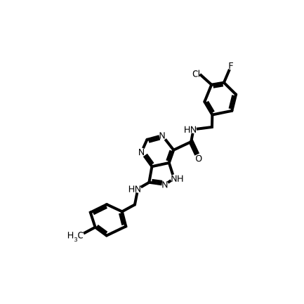 Cc1ccc(CNc2n[nH]c3c(C(=O)NCc4ccc(F)c(Cl)c4)ncnc23)cc1